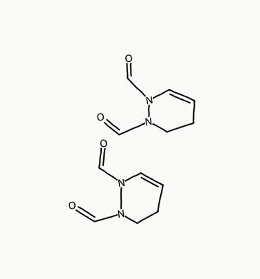 O=CN1C=CCCN1C=O.O=CN1C=CCCN1C=O